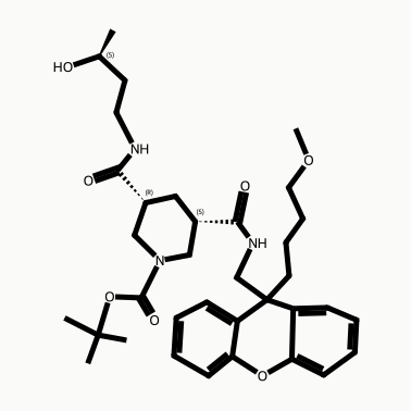 COCCCCC1(CNC(=O)[C@H]2C[C@@H](C(=O)NCC[C@H](C)O)CN(C(=O)OC(C)(C)C)C2)c2ccccc2Oc2ccccc21